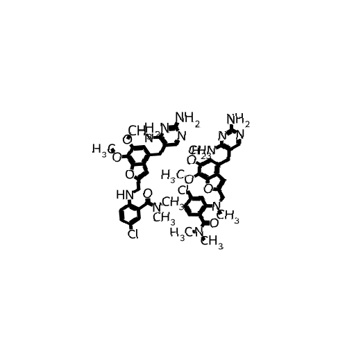 COc1cc(Cc2cnc(N)nc2N)c2cc(CN(C)c3cc(Cl)ccc3C(=O)N(C)C)oc2c1OC.COc1cc(Cc2cnc(N)nc2N)c2cc(CNc3ccc(Cl)cc3C(=O)N(C)C)oc2c1OC